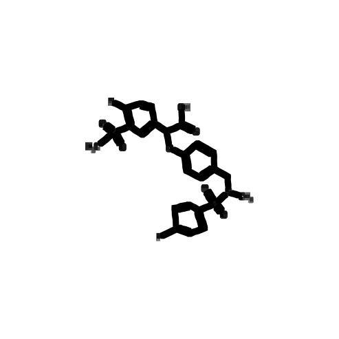 CN(Cc1ccc(OC(C(=O)O)c2ccc(F)c(S(C)(=O)=O)c2)cc1)S(=O)(=O)c1ccc(F)cc1